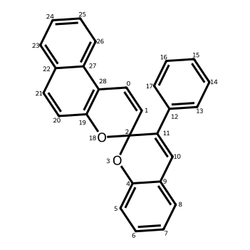 C1=CC2(Oc3ccccc3C=C2c2ccccc2)Oc2ccc3ccccc3c21